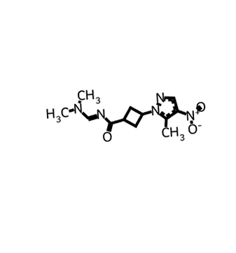 Cc1c([N+](=O)[O-])cnn1C1CC(C(=O)N=CN(C)C)C1